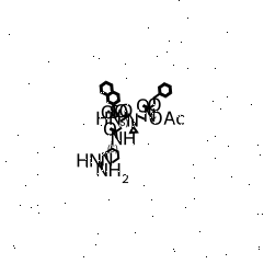 CC(=O)ON(CCN(C(=O)[C@H](CC(=O)NC[C@@H]1CCCN(C(=N)N)C1)NS(=O)(=O)c1ccc2ccccc2c1)C1CC1)C(=O)OCc1ccccc1